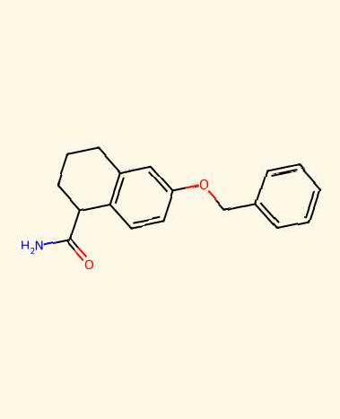 NC(=O)C1CCCc2cc(OCc3ccccc3)ccc21